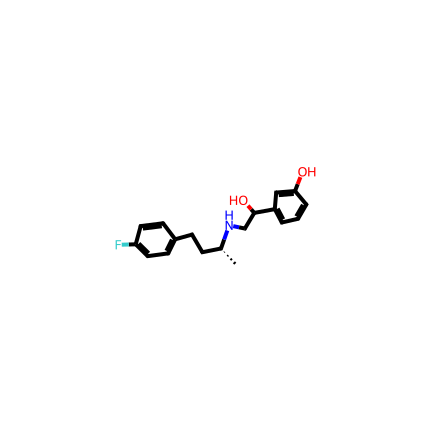 C[C@H](CCc1ccc(F)cc1)NCC(O)c1cccc(O)c1